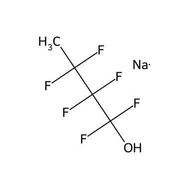 CC(F)(F)C(F)(F)C(O)(F)F.[Na]